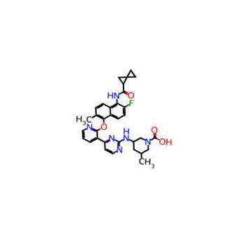 Cc1ccc2c(NC(=O)C3CC34CC4)c(F)ccc2c1Oc1ncccc1-c1ccnc(NC2CC(C)CN(C(=O)O)C2)n1